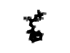 CC(COC(=O)C12CC3CC(CC(C3)C1)C2)NOC(F)(F)F